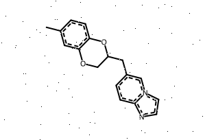 Cc1ccc2c(c1)OCC(Cc1ccc3nccn3c1)O2